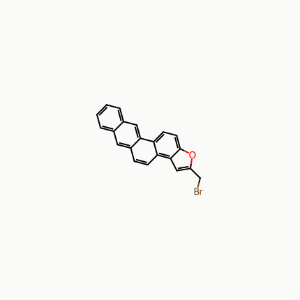 BrCc1cc2c(ccc3c4cc5ccccc5cc4ccc23)o1